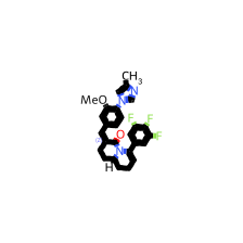 COc1cc(/C=C2/CC[C@H]3CCC=C(c4cc(F)c(F)c(F)c4)N3C2=O)ccc1-n1cnc(C)c1